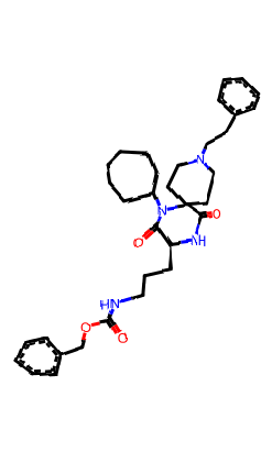 O=C(NCCC[C@@H]1NC(=O)C2(CCN(CCc3ccccc3)CC2)N(C2CCCCCC2)C1=O)OCc1ccccc1